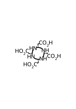 O=C(O)C[C@H]1CN[C@@H](CC(=O)O)CN[C@@H](CC(=O)O)CN[C@@H](CC(=O)O)CN1